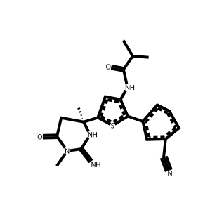 CC(C)C(=O)Nc1cc([C@]2(C)CC(=O)N(C)C(=N)N2)sc1-c1cccc(C#N)c1